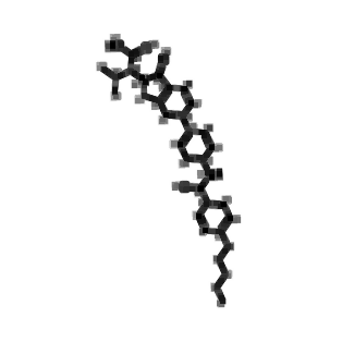 CCCCCc1ccc(C(=O)Nc2ccc(-c3ccc4c(c3)CN(C(C(=O)O)C(C)C)C4=O)cc2)cc1